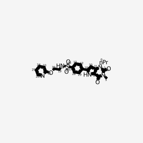 CCCn1c(=O)n(C)c(=O)c2[nH]c(-c3ccc(S(=O)(=O)NCCOc4ccccn4)cc3)cc21